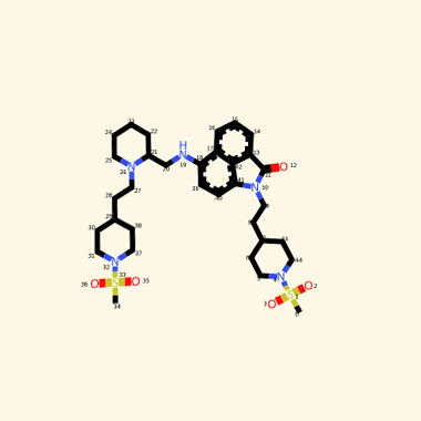 CS(=O)(=O)N1CCC(CCN2C(=O)c3cccc4c(NCC5CCCCN5CCC5CCN(S(C)(=O)=O)CC5)ccc2c34)CC1